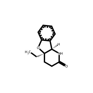 CC[C@@]12CCC(=O)N[C@@H]1c1ccccc1O2